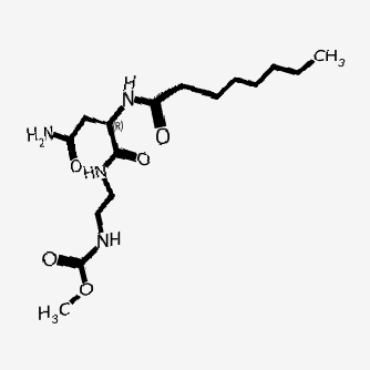 CCCCCCCC(=O)N[C@H](CC(N)=O)C(=O)NCCNC(=O)OC